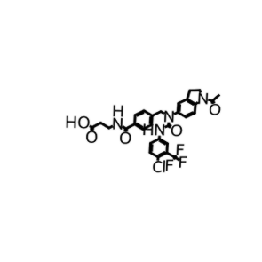 CC(=O)N1CCc2cc(N(Cc3ccc(C(=O)NCCC(=O)O)cc3)C(=O)Nc3ccc(Cl)c(C(F)(F)F)c3)ccc21